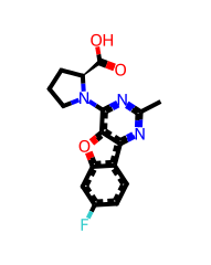 Cc1nc(N2CCC[C@H]2C(=O)O)c2oc3cc(F)ccc3c2n1